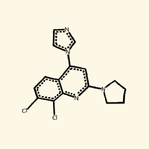 Clc1ccc2c(-n3ccnc3)cc(N3CCCC3)nc2c1Cl